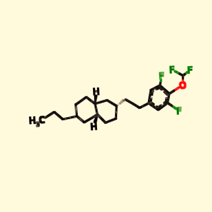 CCCC1CC[C@@H]2C[C@H](CCc3cc(F)c(OC(F)F)c(F)c3)CC[C@@H]2C1